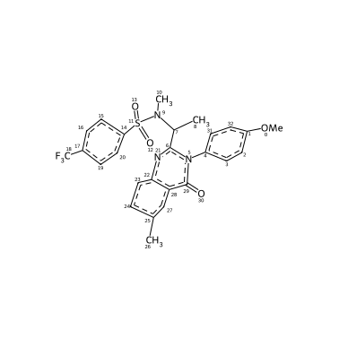 COc1ccc(-n2c(C(C)N(C)S(=O)(=O)c3ccc(C(F)(F)F)cc3)nc3ccc(C)cc3c2=O)cc1